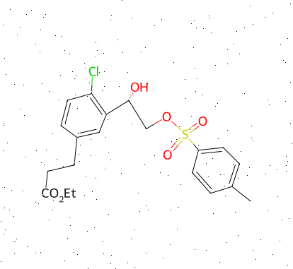 CCOC(=O)CCc1ccc(Cl)c([C@H](O)COS(=O)(=O)c2ccc(C)cc2)c1